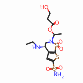 CCN[C@H]1CN(C(C)OC(=O)CCO)S(=O)(=O)c2sc(S(N)(=O)=O)cc21